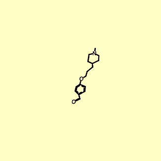 CN1CCC(CCCOc2ccc(C=O)cc2)CC1